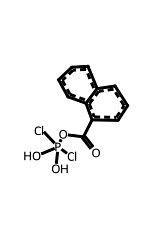 O=C(OP(O)(O)(Cl)Cl)c1cccc2ccccc12